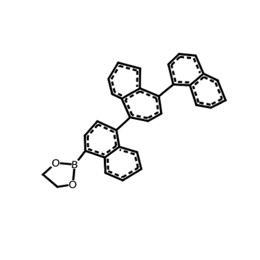 c1ccc2c(-c3ccc(-c4ccc(B5OCCO5)c5ccccc45)c4ccccc34)cccc2c1